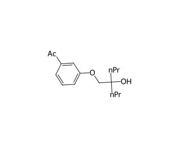 CCCC(O)(CCC)COc1cccc(C(C)=O)c1